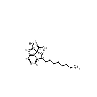 CCCCCCCCC1OC(C(=O)O)(C(=O)O)c2ccccc21